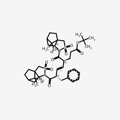 CC(C)(C)OC(=O)CC[C@@H](/C=C/[C@H](Cc1ccccc1)C(=O)N1[C@H]2CC3CCC2(CS1(=O)=O)C3(C)C)C(=O)N1[C@H]2CC3CCC2(CS1(=O)=O)C3(C)C